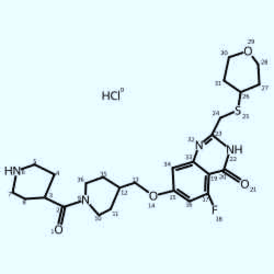 Cl.O=C(C1CCNCC1)N1CCC(COc2cc(F)c3c(=O)[nH]c(CSC4CCOCC4)nc3c2)CC1